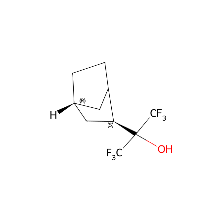 OC([C@H]1C[C@@H]2CCC1C2)(C(F)(F)F)C(F)(F)F